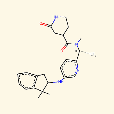 CN(C(=O)C1CCNC(=O)C1)[C@@H](c1ccc(NC2Cc3ccccc3C2(C)C)cn1)C(F)(F)F